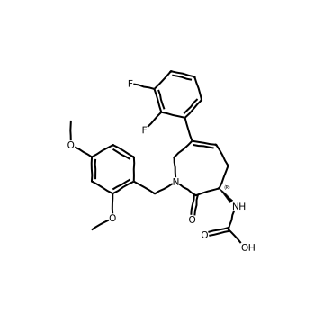 COc1ccc(CN2CC(c3cccc(F)c3F)=CC[C@@H](NC(=O)O)C2=O)c(OC)c1